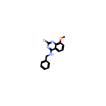 COc1cccc2c(NCc3ccccc3)nc(Cl)nc12